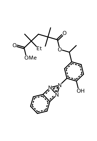 CCC(C)(CC(C)(C)C(=O)OC(C)c1ccc(O)c(-n2n3c4ccccc4n23)c1)C(=O)OC